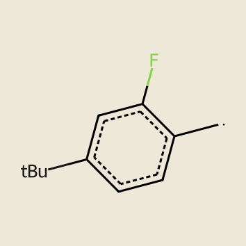 [CH2]c1ccc(C(C)(C)C)cc1F